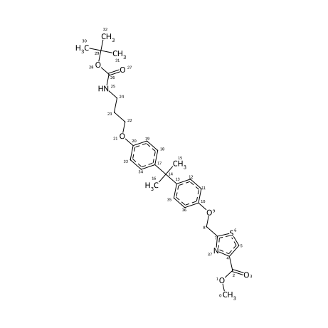 COC(=O)c1csc(COc2ccc(C(C)(C)c3ccc(OCCCNC(=O)OC(C)(C)C)cc3)cc2)n1